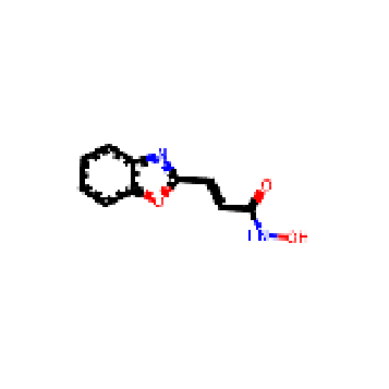 O=C(C=Cc1nc2ccccc2o1)NO